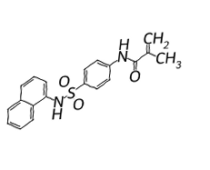 C=C(C)C(=O)Nc1ccc(S(=O)(=O)Nc2cccc3ccccc23)cc1